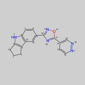 [CH]1CCc2c1[nH]c1ccc(-c3noc(-c4ccnnc4)n3)cc21